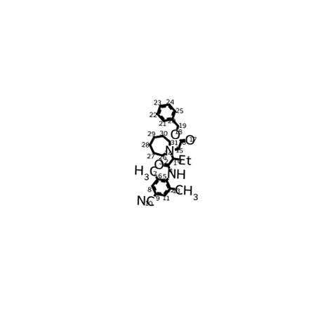 CCC(C(=O)Nc1c(C)cc(C#N)cc1C)[N+]1(CC(=O)OCc2ccccc2)CCCCCC1